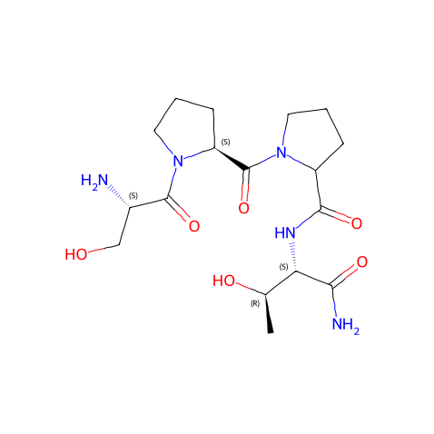 C[C@@H](O)[C@H](NC(=O)C1CCCN1C(=O)[C@@H]1CCCN1C(=O)[C@@H](N)CO)C(N)=O